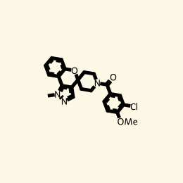 COc1ccc(C(=O)N2CCC3(CC2)Oc2ccccc2-c2c3cnn2C)cc1Cl